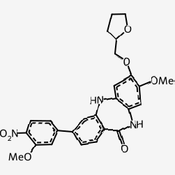 COc1cc2c(cc1OCC1CCCO1)Nc1cc(-c3ccc([N+](=O)[O-])c(OC)c3)ccc1C(=O)N2